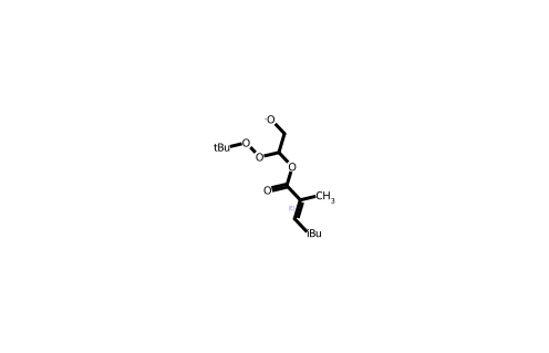 CCC(C)/C=C(\C)C(=O)OC(C[O])OOC(C)(C)C